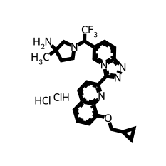 CC1(N)CCN(C(c2ccc3nnc(-c4ccc5cccc(OCC6CC6)c5n4)n3c2)C(F)(F)F)C1.Cl.Cl